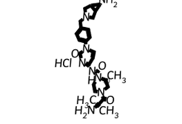 C[C@@H]1CN(C(=O)C(C)(C)N)CCN1C(=O)Nc1ccn(-c2ccc(CN3CC4C(N)C4C3)cc2)c(=O)n1.Cl